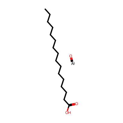 CCCCCCCCCCCCCCCC(=O)O.[O]=[Al]